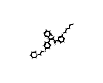 CCCCCOc1cccc(C(=O)c2sc3ccccc3c2-c2ccc(OCCN3CCCCC3)cc2)c1